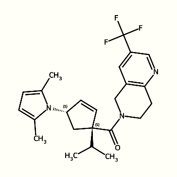 Cc1ccc(C)n1[C@@H]1C=C[C@@](C(=O)N2CCc3ncc(C(F)(F)F)cc3C2)(C(C)C)C1